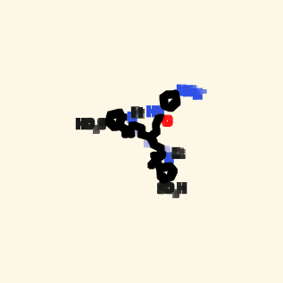 CCN1/C(=C/C=C(/C=C/C2=[N+](CC)c3ccc(S(=O)(=O)O)cc3C2(C)C)CCC(=O)Nc2ccc(N=[N+]=[N-])cc2)C(C)(C)c2cc(S(=O)(=O)O)ccc21